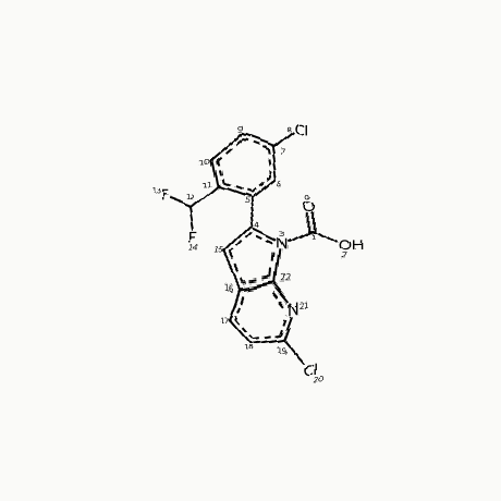 O=C(O)n1c(-c2cc(Cl)ccc2C(F)F)cc2ccc(Cl)nc21